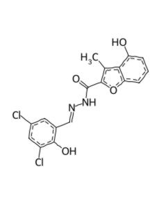 Cc1c(C(=O)N/N=C/c2cc(Cl)cc(Cl)c2O)oc2cccc(O)c12